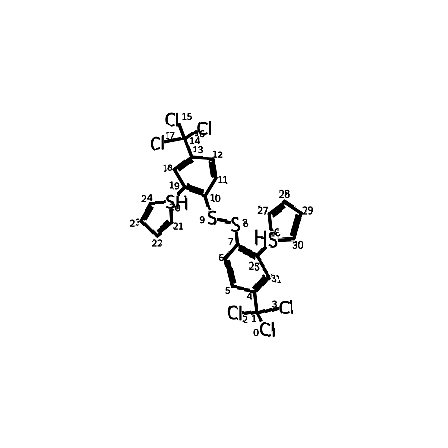 ClC(Cl)(Cl)c1ccc(SSc2ccc(C(Cl)(Cl)Cl)cc2[SH]2C=CC=C2)c([SH]2C=CC=C2)c1